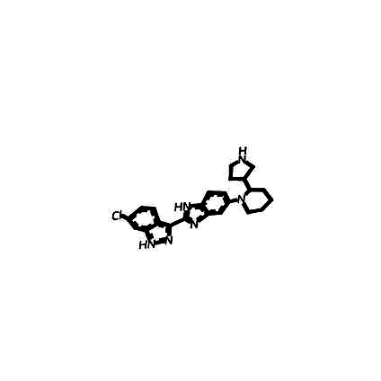 Clc1ccc2c(-c3nc4cc(N5CCCCC5C5CCNC5)ccc4[nH]3)n[nH]c2c1